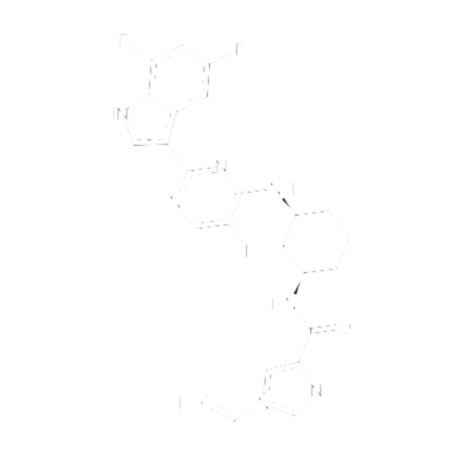 C=Cn1cnc(C(=O)N[C@@H]2CCC[C@H](Nc3nc(-c4c[nH]c5c(F)cc(F)cc45)ncc3F)C2)c1